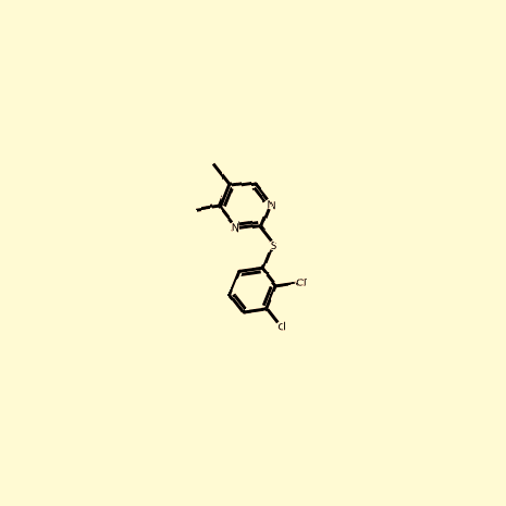 Cc1cnc(Sc2cccc(Cl)c2Cl)nc1C